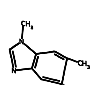 Cc1[c]cc2ncn(C)c2c1